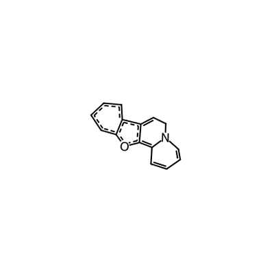 C1=CC2=c3oc4ccccc4c3=CCN2C=C1